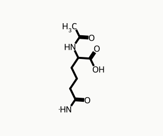 CC(=O)NC(CCCC([NH])=O)C(=O)O